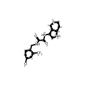 O=C(NCc1ccc(Cl)cc1C(F)(F)F)C(=O)Nc1c[nH]c2ccncc12